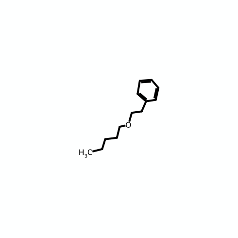 CCCCCOCCc1ccccc1